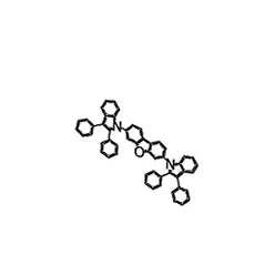 c1ccc(-c2c(-c3ccccc3)n(-c3ccc4c(c3)oc3cc(-n5c(-c6ccccc6)c(-c6ccccc6)c6ccccc65)ccc34)c3ccccc23)cc1